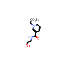 CCOC(=O)C[n+]1cccc(C(=O)NCCO)c1